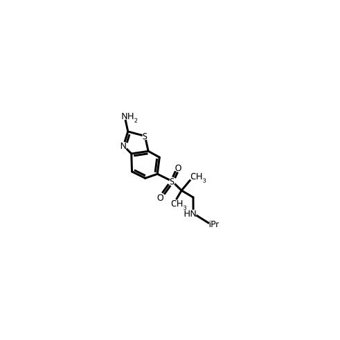 CC(C)NCC(C)(C)S(=O)(=O)c1ccc2nc(N)sc2c1